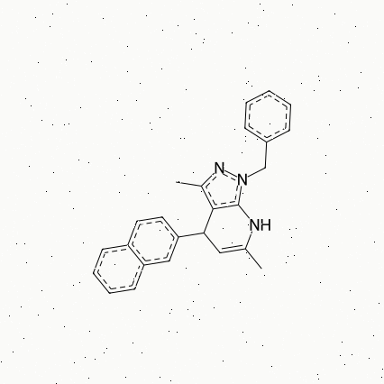 CC1=CC(c2ccc3ccccc3c2)c2c(C)nn(Cc3ccccc3)c2N1